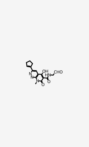 Cn1c(=O)c(C(=O)NCC=O)c(O)c2cc(C3=CCCC3)nnc21